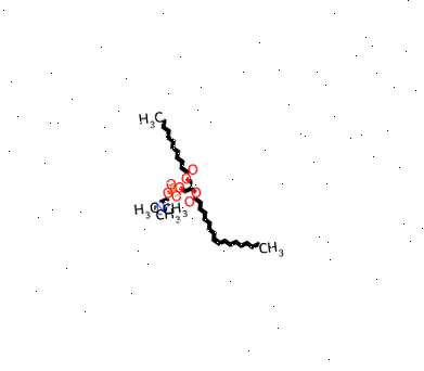 CCCCCCCC/C=C\CCCCCCCC(=O)O[C@H](COC(=O)CCCCCCCCCCC)COP(=O)([O-])OCC[N+](C)(C)C